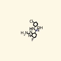 Nc1nc2c(F)ccc(/C(=N/O)Nc3cccc(Cl)c3)c2[nH]1